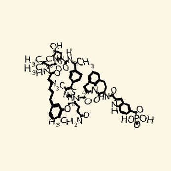 Cc1ccc(CCCCCC(=O)N[C@H](C(=O)N2C[C@H](O)C[C@H]2C(=O)N[C@@H](C)c2ccc(-c3scnc3C)cc2)C(C)(C)C)cc1OC[C@H](CCC(N)=O)NC(=O)[C@@H]1Cc2cccc3c2N1C(=O)[C@@H](NC(=O)c1cc2cc(C(=O)P(=O)(O)O)ccc2[nH]1)CC3